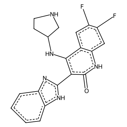 O=c1[nH]c2cc(F)c(F)cc2c(NC2CCNC2)c1-c1nc2ccccc2[nH]1